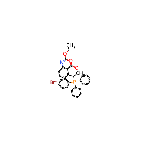 CCOc1nc2cccc(C(C)[P+](c3ccccc3)(c3ccccc3)c3ccccc3)c2c(=O)o1.[Br-]